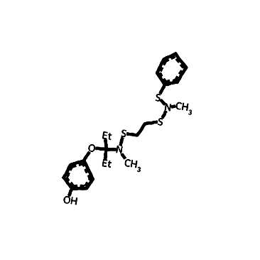 CCC(CC)(Oc1ccc(O)cc1)N(C)SCCSN(C)Sc1ccccc1